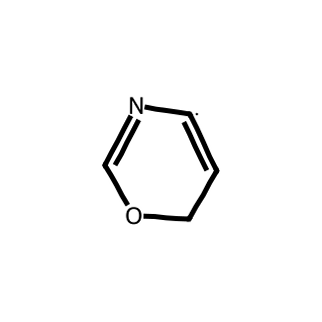 [C]1=CCOC=N1